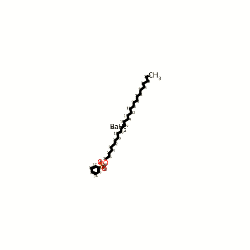 CCCCCCCCCCCCCCCCCCCCCCCCCCCCOS(=O)(=O)c1ccccc1.[BaH2]